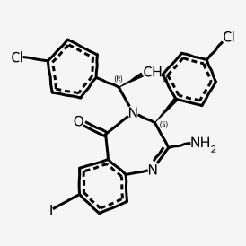 C[C@H](c1ccc(Cl)cc1)N1C(=O)c2cc(I)ccc2N=C(N)[C@@H]1c1ccc(Cl)cc1